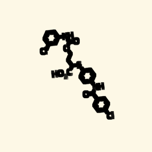 O=C(Nc1cccc(Cl)c1)OCCC(Sc1ccc(NC(=O)c2ccc(Cl)cc2)cc1)C(=O)O